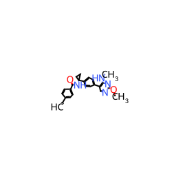 C#Cc1ccc(C(=O)NC2(c3ccc(-c4cnc(OC)nc4NC)cc3)CC2)cc1